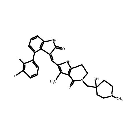 Cc1c(/C=C2\C(=O)Nc3cccc(-c4cccc(F)c4F)c32)[nH]c2c1C(=O)N(CC1(O)CCN(C)CC1)CC2